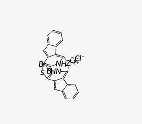 Brc1[nH][c]2c3c4ccccc4cc-3c1Sc1c3cc4ccccc4c-3[c]([nH]c1Br)[Zr+2]2.[Cl-].[Cl-]